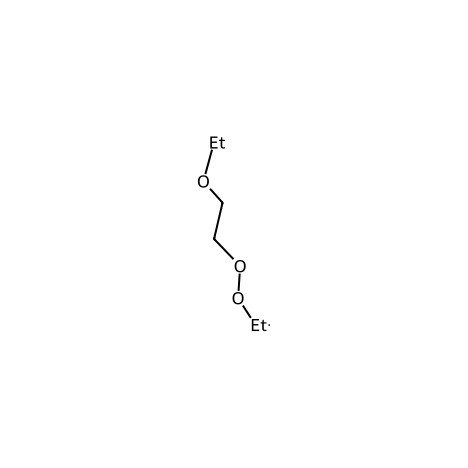 C[CH]OOCCOCC